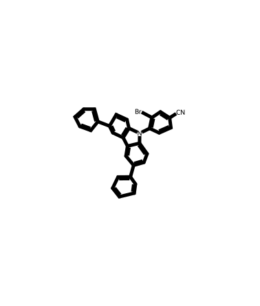 N#Cc1ccc(-n2c3ccc(-c4ccccc4)cc3c3cc(-c4ccccc4)ccc32)c(Br)c1